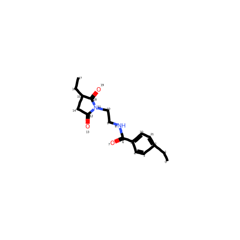 CCc1ccc(C(=O)NCCN2C(=O)CC(CC)C2=O)cc1